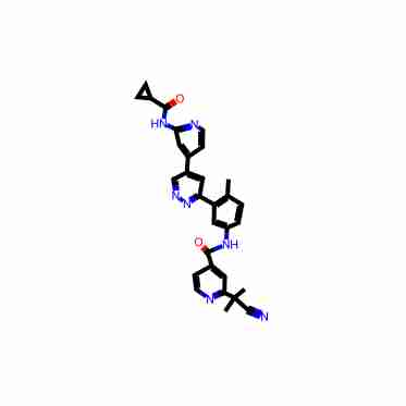 Cc1ccc(NC(=O)c2ccnc(C(C)(C)C#N)c2)cc1-c1cc(-c2ccnc(NC(=O)C3CC3)c2)cnn1